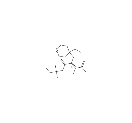 C=C(C)/C(C)=C(\CC1(CC)CCSCC1)C(=C)CC(C)(C)CC